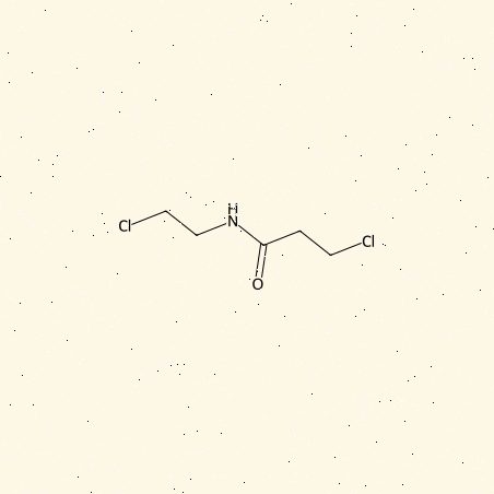 O=C(CCCl)NCCCl